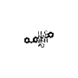 COc1ccccc1CN=C(NOC(C)=O)Nc1ccc(Cc2ccccc2)cn1